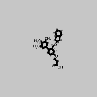 Cc1cc(-c2ccc(OCCC(=O)O)cc2COC2Cc3ccccc3C2)cc(C)c1C